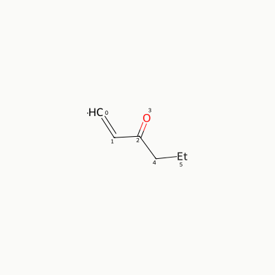 [CH]=CC(=O)CCC